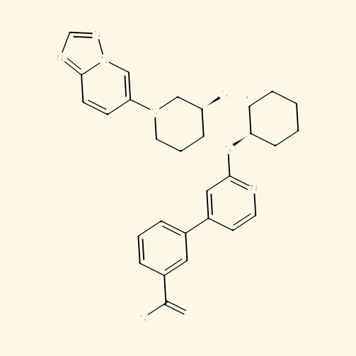 NC(=O)c1cccc(-c2ccnc(N[C@@H]3CCCC[C@H]3N[C@H]3CCCN(c4ccc5ncnn5c4)C3)c2)c1